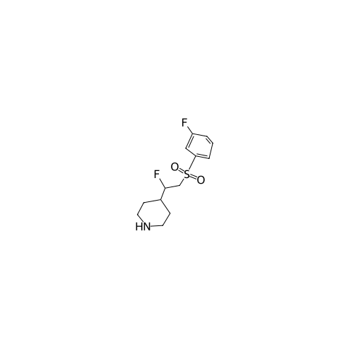 O=S(=O)(CC(F)C1CCNCC1)c1cccc(F)c1